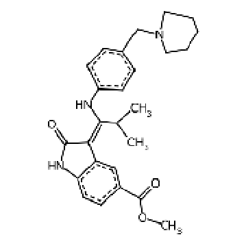 COC(=O)c1ccc2c(c1)/C(=C(/Nc1ccc(CN3CCCCC3)cc1)C(C)C)C(=O)N2